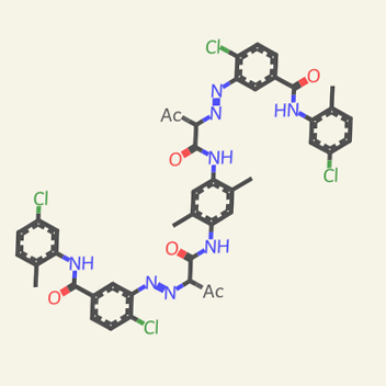 CC(=O)C(N=Nc1cc(C(=O)Nc2cc(Cl)ccc2C)ccc1Cl)C(=O)Nc1cc(C)c(NC(=O)C(N=Nc2cc(C(=O)Nc3cc(Cl)ccc3C)ccc2Cl)C(C)=O)cc1C